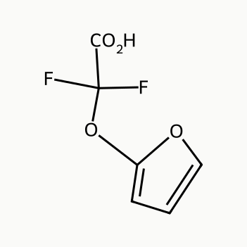 O=C(O)C(F)(F)Oc1ccco1